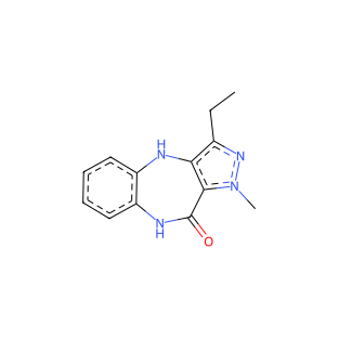 CCc1nn(C)c2c1Nc1ccccc1NC2=O